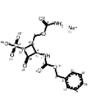 NC(=O)OC[C@H]1[C@@H](NC(=O)OCc2ccccc2)C(=O)N1S(=O)(=O)[O-].[Na+]